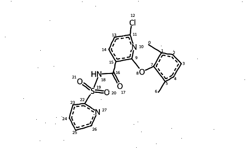 Cc1cccc(C)c1Oc1nc(Cl)ccc1C(=O)NS(=O)(=O)c1ccccn1